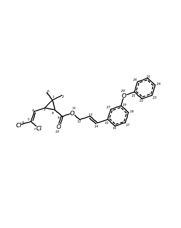 CC1(C)C(C=C(Cl)Cl)C1C(=O)OCC=Cc1cccc(Oc2ccccc2)c1